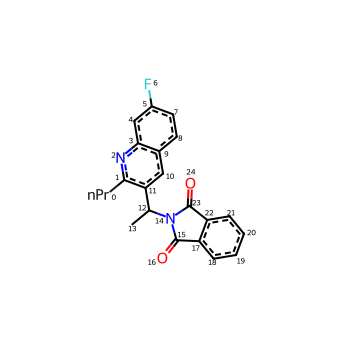 CCCc1nc2cc(F)ccc2cc1C(C)N1C(=O)c2ccccc2C1=O